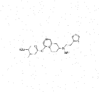 CCCCC(C)C(C)CC(=O)Oc1cccc2c1CCC(N(CCC)CCc1cccs1)C2